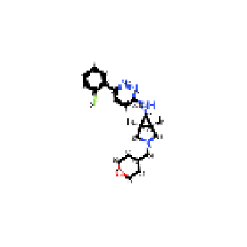 Fc1ccccc1-c1ccc(NC2[C@H]3CN(CC4CCOCC4)C[C@@H]23)nn1